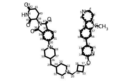 Cn1c2ccncc2c2ccc(-c3ccc(O[C@H]4C[C@H](CN5CCC(CC6CCN(c7ccc8c(c7)C(=O)N(C7CCC(=O)NC7=O)C8=O)CC6)CC5)C4)nc3)cc21